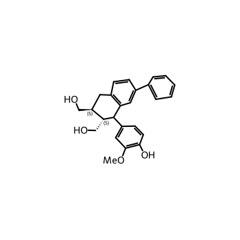 COc1cc(C2c3cc(-c4ccccc4)ccc3C[C@H](CO)[C@H]2CO)ccc1O